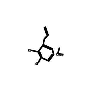 C=CCc1cccc(Cl)c1Cl.COC